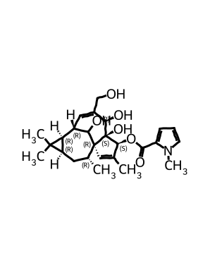 CC1=C[C@]23C(O)[C@@H](C=C(CO)[C@@H](O)[C@]2(O)[C@H]1OC(=O)c1cccn1C)[C@H]1[C@@H](C[C@H]3C)C1(C)C